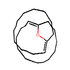 C1=C(\O/C2=C\CCCCCCCCCC2)CCCCCCCCCC/1